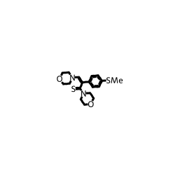 CSc1ccc(C(=CN2CCOCC2)C(=S)N2CCOCC2)cc1